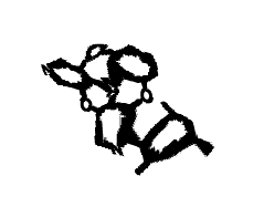 Cc1cc(C)c(-c2ncc3c4c2Oc2cccc5c2B4c2c(cncc2O3)O5)c(C)c1